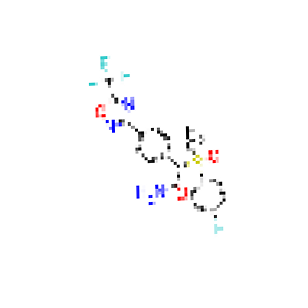 CS(=O)(=C(C(N)=O)c1ccc(-c2noc(C(F)(F)F)n2)cc1)c1ccc(F)cc1